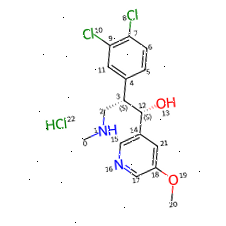 CNC[C@H](c1ccc(Cl)c(Cl)c1)[C@H](O)c1cncc(OC)c1.Cl